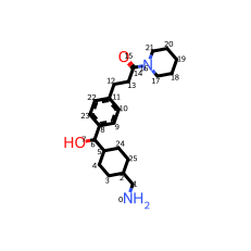 NCC1CCC(C(O)c2ccc(CCC(=O)N3CCCCC3)cc2)CC1